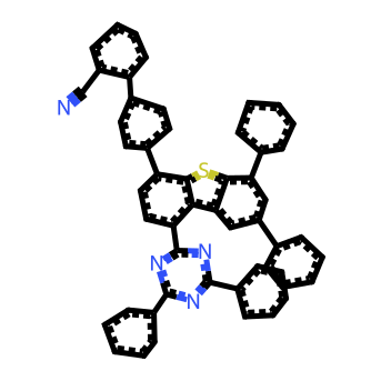 N#Cc1ccccc1-c1ccc(-c2ccc(-c3nc(-c4ccccc4)nc(-c4ccccc4)n3)c3c2sc2c(-c4ccccc4)cc(-c4ccccc4)cc23)cc1